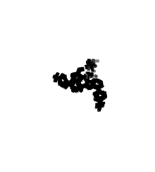 C[CH]=[Hf+2]([CH]1C(CC)=Cc2c(-c3ccc(C(C)(C)C)cc3)cccc21)[CH]1C(CC)=Cc2c(-c3ccc(C(C)(C)C)cc3)cccc21.C[N-]C.C[N-]C